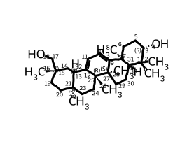 CC1(C)[C@@H](O)CC[C@]2(C)C3=CC=C4[C@@H]5C[C@@](C)(CO)CC[C@]5(C)CC[C@@]4(C)[C@]3(C)CC[C@@H]12